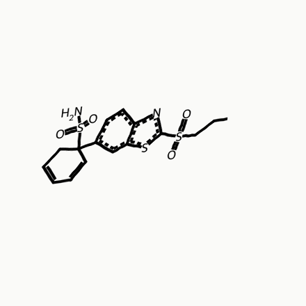 CCCS(=O)(=O)c1nc2ccc(C3(S(N)(=O)=O)C=CC=CC3)cc2s1